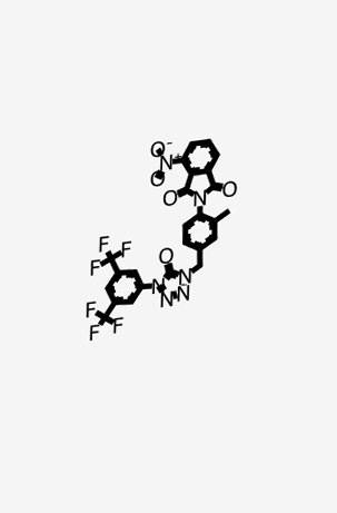 Cc1cc(Cn2nnn(-c3cc(C(F)(F)F)cc(C(F)(F)F)c3)c2=O)ccc1N1C(=O)c2cccc([N+](=O)[O-])c2C1=O